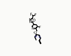 C=C/C=C\C(=C/C)OCc1ncc(-c2nnc(C(F)F)o2)cc1F